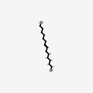 BrCCCCCCC=CCCCCCCBr